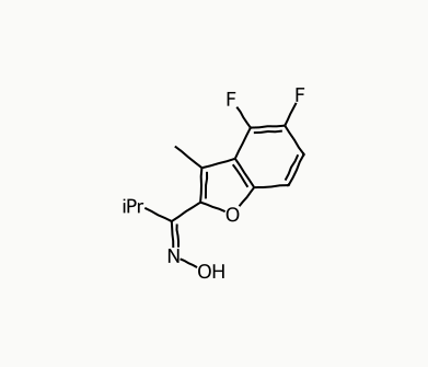 Cc1c(/C(=N\O)C(C)C)oc2ccc(F)c(F)c12